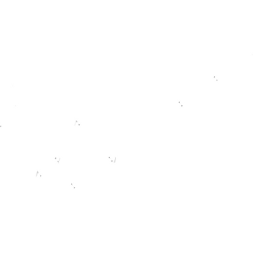 COc1cc(-c2ncc(Nc3ccc(N4CCN(C5CC5)CC4)cc3)c3ncnn23)ccn1